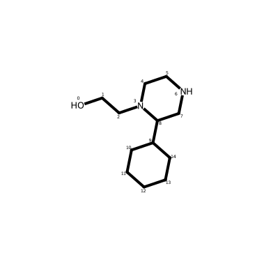 OCCN1CCNCC1C1CCCCC1